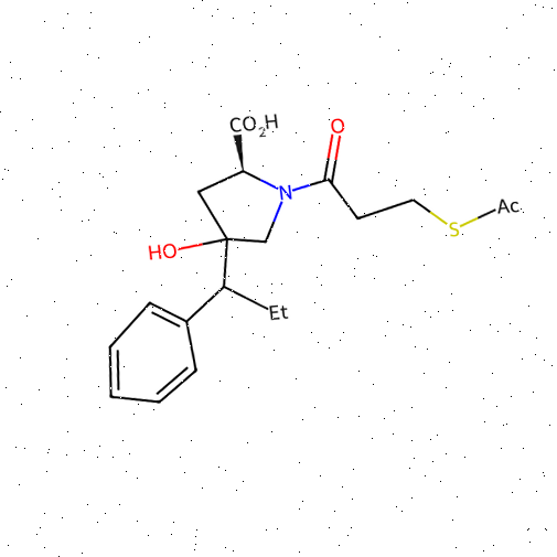 CCC(c1ccccc1)C1(O)C[C@@H](C(=O)O)N(C(=O)CCSC(C)=O)C1